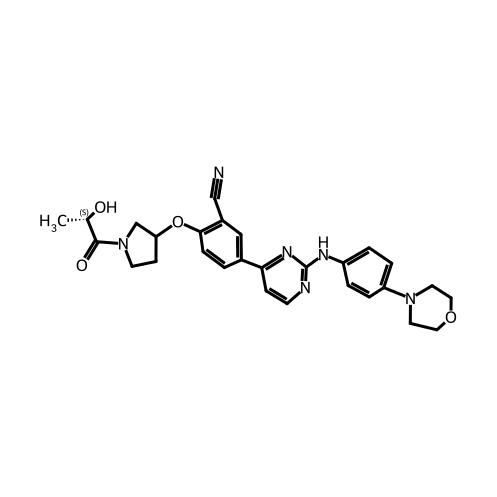 C[C@H](O)C(=O)N1CCC(Oc2ccc(-c3ccnc(Nc4ccc(N5CCOCC5)cc4)n3)cc2C#N)C1